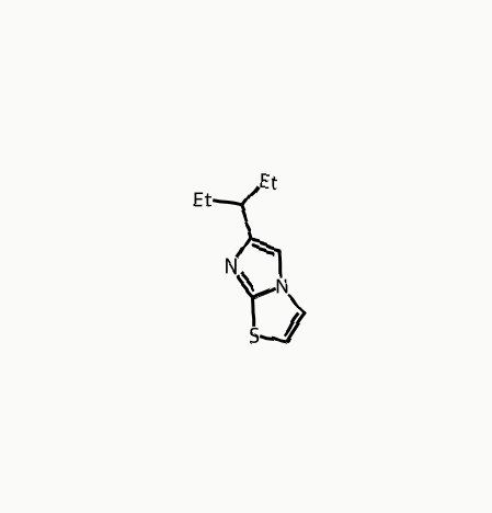 CCC(CC)c1cn2ccsc2n1